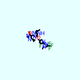 CCn1cc(C(F)(F)F)nc1-c1ncc(COc2nc(-c3c(OC)ncnc3C3CC3)nc3cc(C)[nH]c23)cc1F